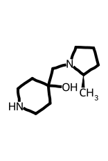 C[C@@H]1CCCN1CC1(O)CCNCC1